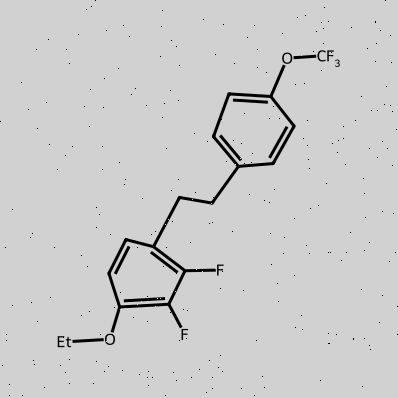 CCOc1ccc(CCc2ccc(OC(F)(F)F)cc2)c(F)c1F